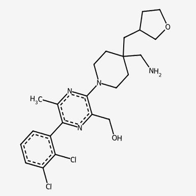 Cc1nc(N2CCC(CN)(CC3CCOC3)CC2)c(CO)nc1-c1cccc(Cl)c1Cl